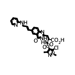 Cc1nn(C)c(Cl)c1S(=O)(=O)N[C@@H](Cc1nc2ccc(C=CCNc3ccccn3)cc2c(=O)[nH]1)C(=O)O